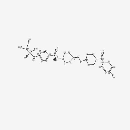 O=C(N[C@H]1CC[C@H](CCN2CCC(C(=O)c3ccc(F)cc3)CC2)CC1)c1ccc(OC(F)(F)C(F)F)cc1